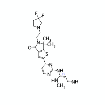 CN/C(=C\C=N)Nc1nccc(-c2cc3c(s2)C(C)(C)N(CCN2CCC(F)(F)C2)C3=O)n1